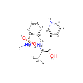 CNS(=O)(=O)c1cccc(-c2ccccn2)c1CN[C@@H](CO)C(C)C